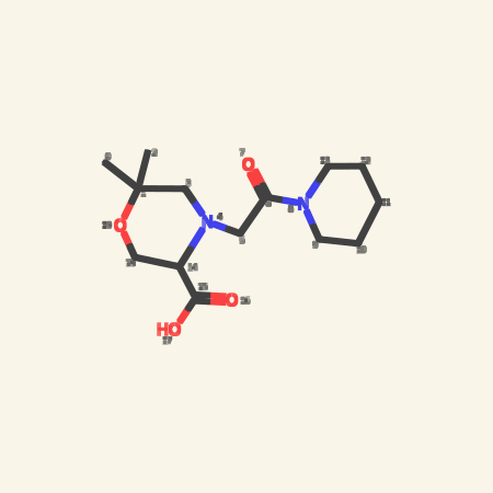 CC1(C)CN(CC(=O)N2CCCCC2)C(C(=O)O)CO1